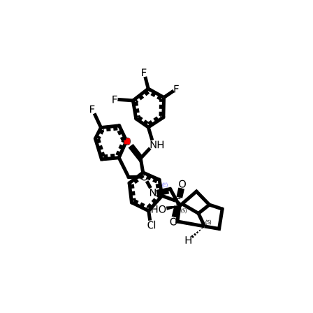 O=C(Nc1cc(F)c(F)c(F)c1)c1ccc(Cl)c(S(=O)(=O)C2C3CC[C@H]2C[C@](O)(/C=N/OCc2ccc(F)cc2)C3)c1